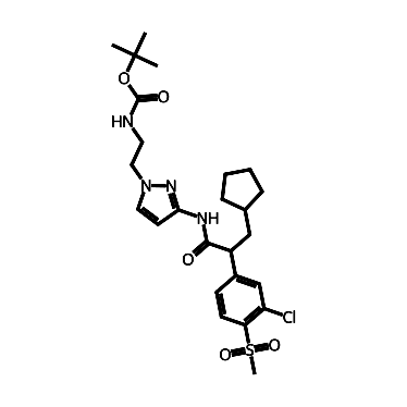 CC(C)(C)OC(=O)NCCn1ccc(NC(=O)C(CC2CCCC2)c2ccc(S(C)(=O)=O)c(Cl)c2)n1